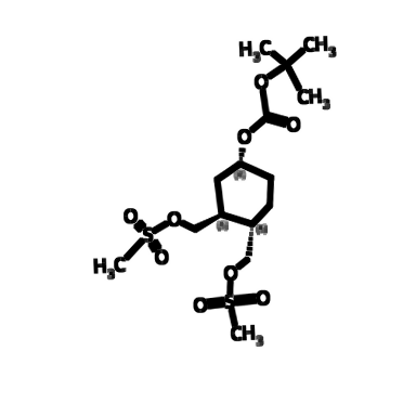 CC(C)(C)OC(=O)O[C@@H]1CC[C@H](COS(C)(=O)=O)[C@@H](COS(C)(=O)=O)C1